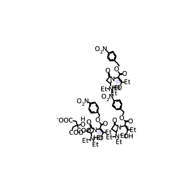 CC/C(O)=C(\C(=O)OCc1ccc([N+](=O)[O-])cc1)N1C(=O)CC1[N+](CC)(CC)CC.CC/C(O)=C(\C(=O)OCc1ccc([N+](=O)[O-])cc1)N1C(=O)CC1[N+](CC)(CC)CC.CC/C(O)=C(\C(=O)OCc1ccc([N+](=O)[O-])cc1)N1C(=O)CC1[N+](CC)(CC)CC.O=C([O-])CC(O)(CC(=O)[O-])C(=O)[O-]